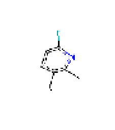 [CH2]c1ccc(F)nc1C